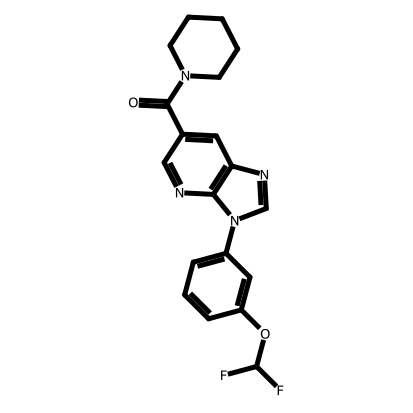 O=C(c1cnc2c(c1)ncn2-c1cccc(OC(F)F)c1)N1CCCCC1